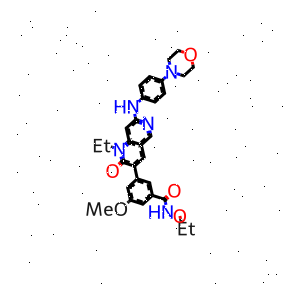 CCONC(=O)c1cc(OC)cc(-c2cc3cnc(Nc4ccc(N5CCOCC5)cc4)cc3n(CC)c2=O)c1